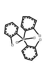 Clc1ccccc1P(Cl)(Cl)(c1ccccc1Cl)c1ccccc1Cl